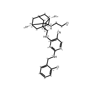 N#Cc1cnc(NCc2ccccc2Cl)nc1NCC12CC3C[C@H](C1)[C@H](NCCCl)[C@@H](C3)C2